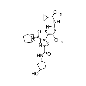 Cc1cc(N[C@H](C)C2CC2)ncc1-c1sc(C(=O)N[C@@H]2CC[C@@H](O)C2)nc1C(=O)N1C2CCC1CC2